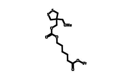 COCC1(COC(=O)OCCCCCC(=O)OC(C)C)CSSC1